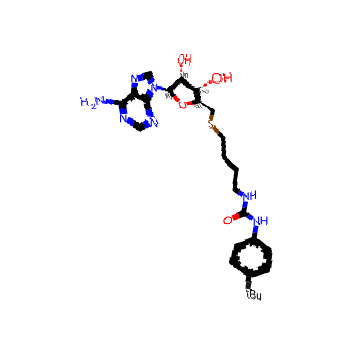 CC(C)(C)c1ccc(NC(=O)NCCCCSC[C@H]2O[C@@H](n3cnc4c(N)ncnc43)[C@H](O)[C@@H]2O)cc1